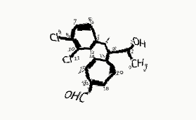 CC(O)C(Cc1ccc(Cl)c(Cl)c1)c1ccc(C=O)cc1